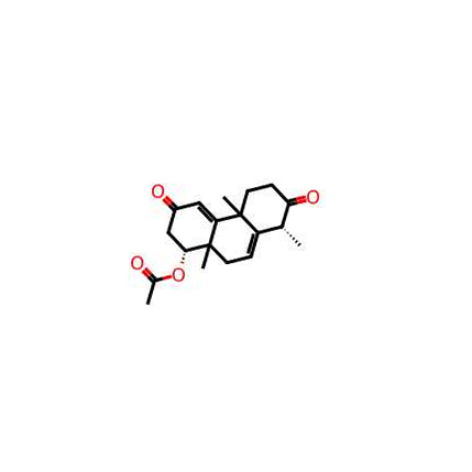 CC(=O)O[C@@H]1CC(=O)C=C2C3(C)CCC(=O)[C@H](C)C3=CCC21C